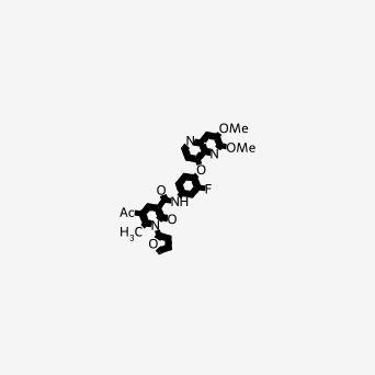 COc1cc2nccc(Oc3ccc(NC(=O)c4cc(C(C)=O)c(C)n(-c5ccco5)c4=O)cc3F)c2nc1OC